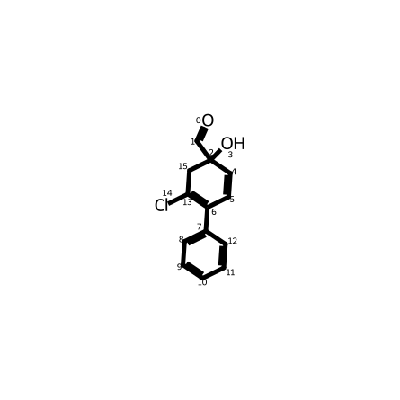 O=CC1(O)C=CC(c2ccccc2)=C(Cl)C1